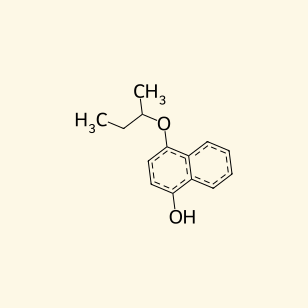 CCC(C)Oc1ccc(O)c2ccccc12